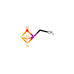 CCI123PS(P1)(P2)P3